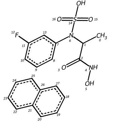 CC(C(=O)NO)N(c1cccc(F)c1)S(=O)(=O)O.c1ccc2ccccc2c1